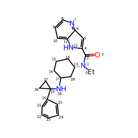 CCN(C(=O)c1cc2ncccc2[nH]1)[C@H]1CCCC(NC2(c3ccccc3)CC2)C1